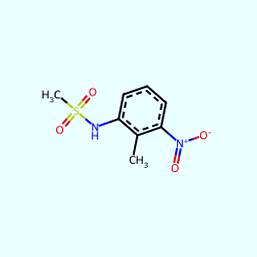 Cc1c(NS(C)(=O)=O)cccc1[N+](=O)[O-]